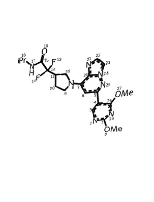 COc1ncc(-c2cc(N3CCC(C(F)(F)C(=O)NC(C)C)C3)c3nccn3n2)c(OC)n1